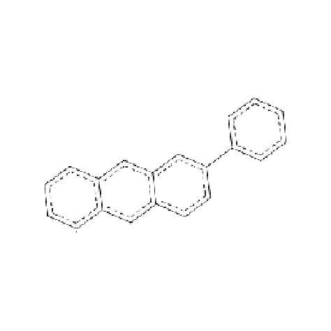 [c]1cccc2cc3cc(-c4ccccc4)ccc3cc12